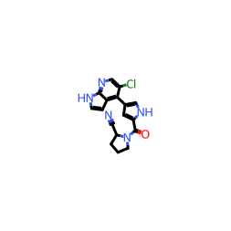 N#CC1CCCN1C(=O)c1cc(-c2c(Cl)cnc3[nH]ccc23)c[nH]1